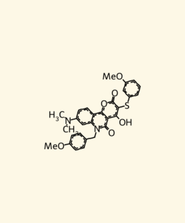 COc1ccc(Cn2c(=O)c3c(O)c(Sc4cccc(OC)c4)c(=O)oc3c3ccc(N(C)C)cc32)cc1